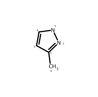 CC1=N[N]C=C1